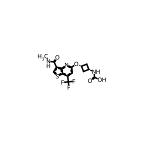 CNC(=O)c1csc2c(C(F)(F)F)cc(O[C@H]3C[C@H](NC(=O)O)C3)nc12